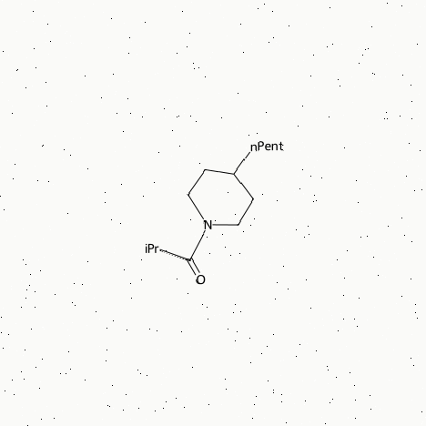 CCCCCC1CCN(C(=O)C(C)C)CC1